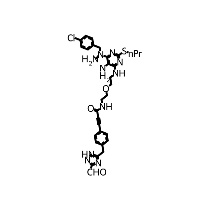 CCCSc1nc(NCCOCCNC(=O)C#Cc2ccc(Cc3nc(C=O)n[nH]3)cc2)c(N)c(N(N)Cc2ccc(Cl)cc2)n1